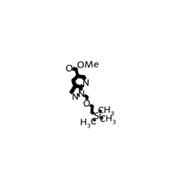 COC(=O)c1cnc2c(cnn2COCC[Si](C)(C)C)c1